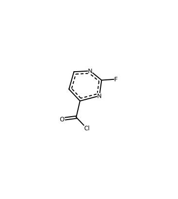 O=C(Cl)c1ccnc(F)n1